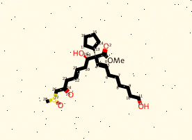 COC(=O)[C@](C=CCCCCCCO)(C1CCCC1)[C@H](O)C/C=C/CC(=O)C[S+](C)[O-]